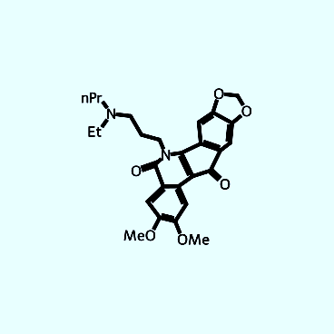 CCCN(CC)CCCn1c2c(c3cc(OC)c(OC)cc3c1=O)C(=O)c1cc3c(cc1-2)OCO3